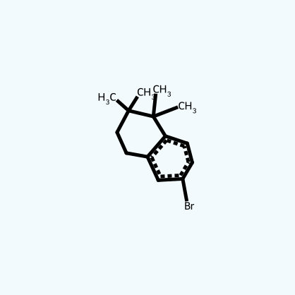 CC1(C)CCc2cc(Br)ccc2C1(C)C